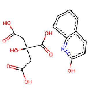 O=C(O)CC(O)(CC(=O)O)C(=O)O.Oc1ccc2ccccc2n1